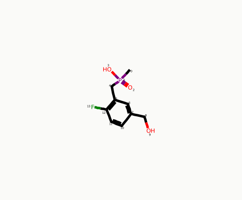 CP(=O)(O)Cc1cc(CO)ccc1F